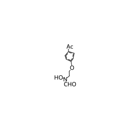 CC(=O)c1ccc(OCCN(O)C=O)cc1